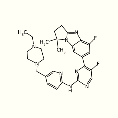 CCN1CCN(Cc2ccc(Nc3ncc(F)c(-c4cc(F)c5nc6n(c5c4)C(C)(C)CC6)n3)nc2)CC1